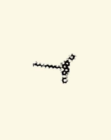 C[C@]12CCC3c4ccc(OC5CCCCO5)cc4C(=O)[C@@H](CCCCCCCCCSCCCC(F)F)C3C1CC[C@@H]2OC1CCCCO1